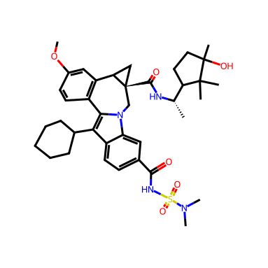 COc1ccc2c(c1)C1C[C@]1(C(=O)N[C@@H](C)C1CCC(C)(O)C1(C)C)Cn1c-2c(C2CCCCC2)c2ccc(C(=O)NS(=O)(=O)N(C)C)cc21